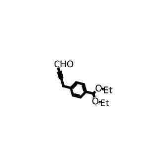 CCOC(OCC)c1ccc(CC#CC=O)cc1